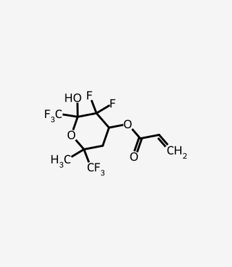 C=CC(=O)OC1CC(C)(C(F)(F)F)OC(O)(C(F)(F)F)C1(F)F